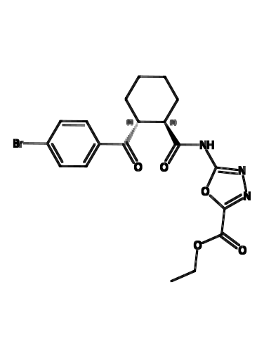 CCOC(=O)c1nnc(NC(=O)[C@@H]2CCCC[C@H]2C(=O)c2ccc(Br)cc2)o1